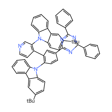 CC(C)(C)c1ccc2c(c1)c1ccccc1n2-c1ccc(-c2nc(-c3ccccc3)nc(-c3ccccc3)n2)cc1-c1ccncc1-n1c2ccccc2c2cc(C(C)(C)C)ccc21